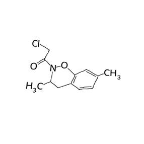 Cc1ccc2c(c1)ON(C(=O)CCl)C(C)C2